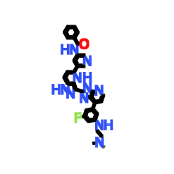 CN(C)CCNc1cc(F)cc(-c2ccnc3[nH]c(-c4n[nH]c5ccc(-c6cncc(NC(=O)c7ccccc7)c6)nc45)nc23)c1